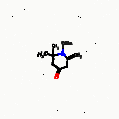 C=C1CC(=O)CC(C)(C)N1OC